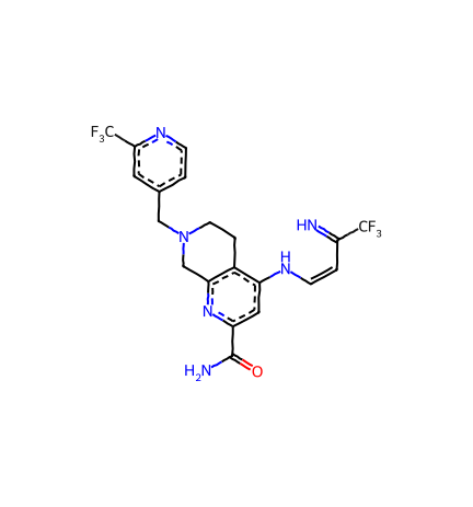 N=C(/C=C\Nc1cc(C(N)=O)nc2c1CCN(Cc1ccnc(C(F)(F)F)c1)C2)C(F)(F)F